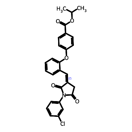 CC(C)OC(=O)c1ccc(Oc2ccccc2/C=C2/CC(=O)N(c3cccc(Cl)c3)C2=O)cc1